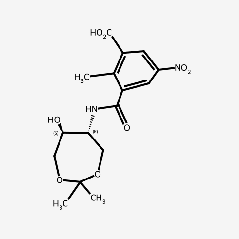 Cc1c(C(=O)O)cc([N+](=O)[O-])cc1C(=O)N[C@@H]1COC(C)(C)OC[C@H]1O